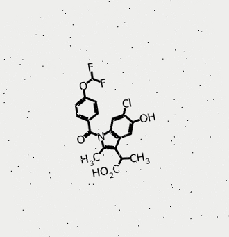 Cc1c(C(C)C(=O)O)c2cc(O)c(Cl)cc2n1C(=O)c1ccc(OC(F)F)cc1